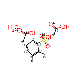 CC(=O)O.CC(=O)O.Cc1cccc(S(=O)(=O)O)c1C.O